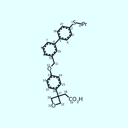 CC(C)Sc1ccc(-c2cccc(COc3ccc(C4(CC(=O)O)COC4)cc3)c2)cc1